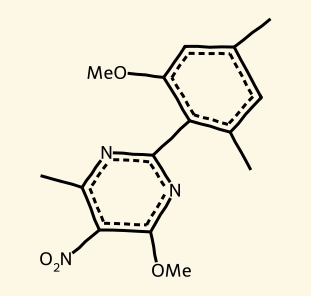 COc1cc(C)cc(C)c1-c1nc(C)c([N+](=O)[O-])c(OC)n1